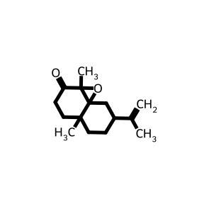 C=C(C)C1CCC2(C)CCC(=O)C3(C)OC23C1